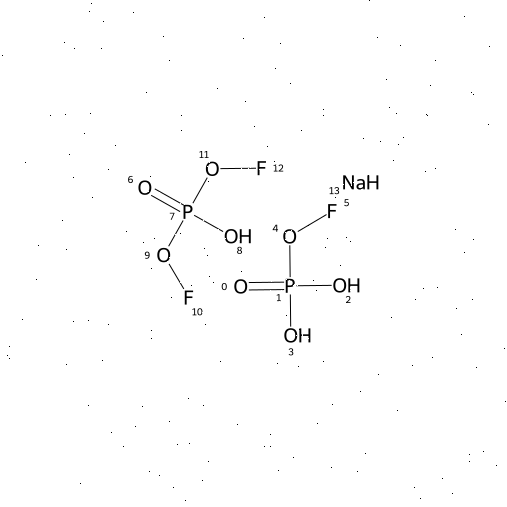 O=P(O)(O)OF.O=P(O)(OF)OF.[NaH]